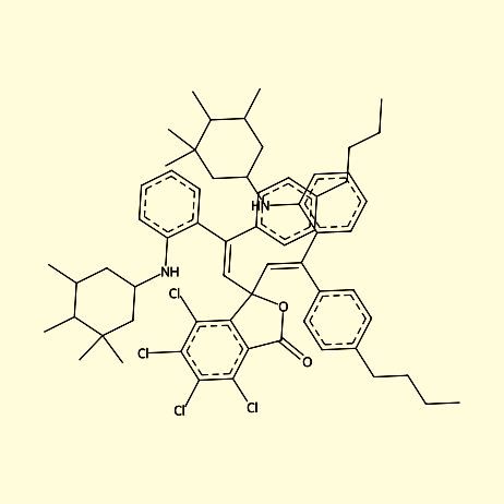 CCCCc1ccc(/C(=C\C2(/C=C(\c3ccc(CCCC)cc3)c3ccccc3NC3CC(C)C(C)C(C)(C)C3)OC(=O)c3c(Cl)c(Cl)c(Cl)c(Cl)c32)c2ccccc2NC2CC(C)C(C)C(C)(C)C2)cc1